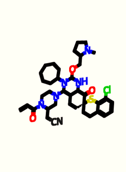 C=CC(=O)N1CCN(C2C3CC[C@]4(CCc5cccc(Cl)c5S4)C(=O)C3NC(OCC3CCCN3C)N2C2CCCCCC2)CC1CC#N